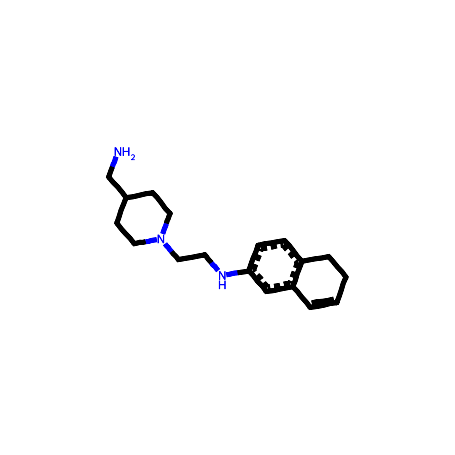 NCC1CCN(CCNc2ccc3c(c2)C=CCC3)CC1